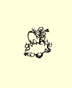 O=C1N[C@H]2CCCCC/C=C\[C@@H]3C[C@@]3(C(=O)NS(=O)(=O)C3CC3)NC(=O)[C@@H]3C[C@H](CN3C2=O)NC(=O)c2cccc(n2)-c2cccc(c2)OCC2(CC2)CO1